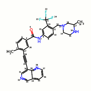 Cc1ccc(C(=O)Nc2ccc(CN3CCNC(C)C3)c(C(F)(F)F)c2)cc1C#Cc1cncc2cccnc12